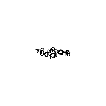 CCOC(=O)OC1CCN(c2ncnc(Oc3ccc(-c4csnn4)cc3)c2[N+](=O)[O-])CC1